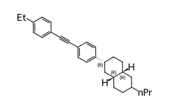 CCCC1CC[C@@H]2C[C@H](c3ccc(C#Cc4ccc(CC)cc4)cc3)CC[C@@H]2C1